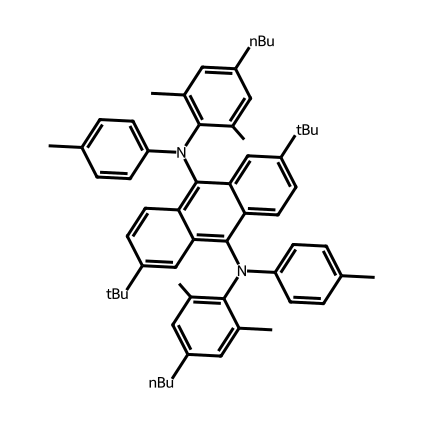 CCCCc1cc(C)c(N(c2ccc(C)cc2)c2c3ccc(C(C)(C)C)cc3c(N(c3ccc(C)cc3)c3c(C)cc(CCCC)cc3C)c3ccc(C(C)(C)C)cc23)c(C)c1